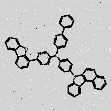 c1ccc(-c2ccc(N(c3ccc(-c4cccc5c4oc4ccccc45)cc3)c3ccc(-n4c5ccccc5c5c6ccccc6ccc54)cc3)cc2)cc1